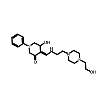 O=C1CN(c2ccccc2)CC(O)/C1=C\NCCN1CCN(CCO)CC1